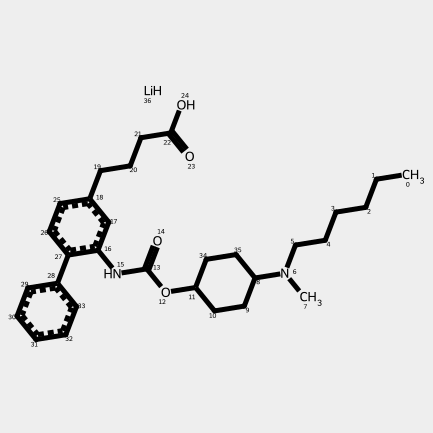 CCCCCCN(C)C1CCC(OC(=O)Nc2cc(CCCC(=O)O)ccc2-c2ccccc2)CC1.[LiH]